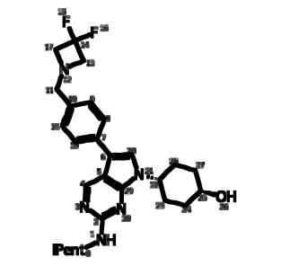 CCCC(C)Nc1ncc2c(-c3ccc(CN4CC(F)(F)C4)cc3)cn([C@H]3CC[C@H](O)CC3)c2n1